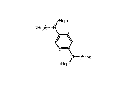 CCCCCCCN(CCCCCCC)c1ccc(N(CCCCCCC)CCCCCCC)cc1